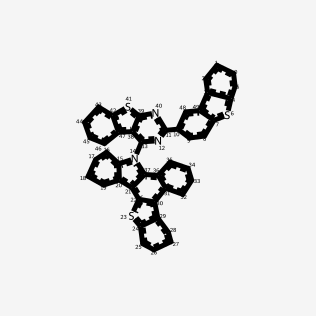 c1ccc2c(c1)sc1ccc(-c3nc(-n4c5ccccc5c5c6sc7ccccc7c6c6ccccc6c54)c4c(n3)sc3ccccc34)cc12